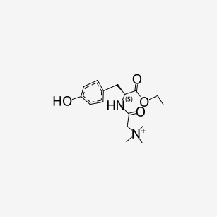 CCOC(=O)[C@H](Cc1ccc(O)cc1)NC(=O)C[N+](C)(C)C